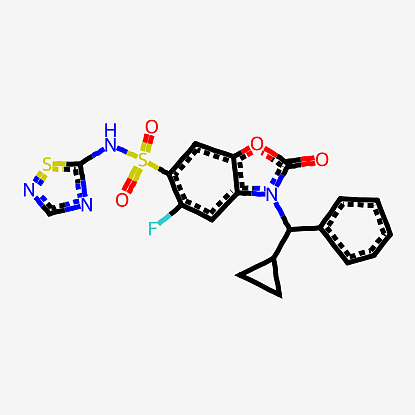 O=c1oc2cc(S(=O)(=O)Nc3ncns3)c(F)cc2n1C(c1ccccc1)C1CC1